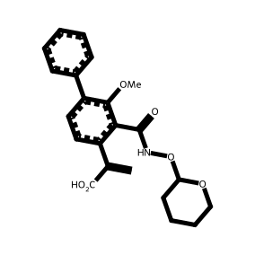 C=C(C(=O)O)c1ccc(-c2ccccc2)c(OC)c1C(=O)NOC1CCCCO1